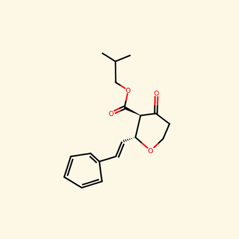 CC(C)COC(=O)[C@H]1C(=O)CCO[C@@H]1/C=C/c1ccccc1